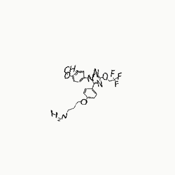 COc1ccc(-n2nc(OCC(F)(F)F)nc2-c2ccc(OCCCN)cc2)cc1